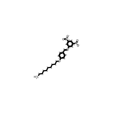 CCCCCCCCCCOc1ccc(C=Nc2cc([N+](=O)[O-])cc([N+](=O)[O-])c2)cc1